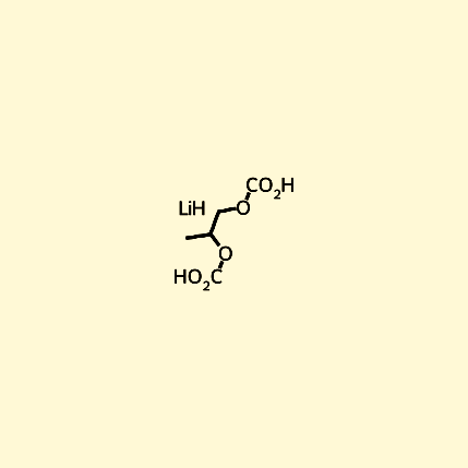 CC(COC(=O)O)OC(=O)O.[LiH]